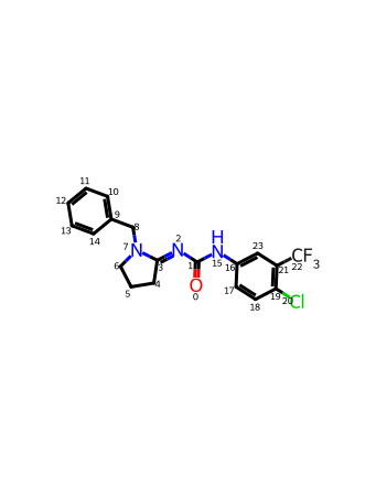 O=C(N=C1CCCN1Cc1ccccc1)Nc1ccc(Cl)c(C(F)(F)F)c1